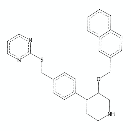 c1cnc(SCc2ccc(C3CCNCC3OCc3ccc4ccccc4c3)cc2)nc1